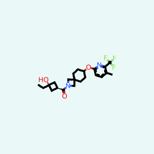 CC[C@]1(O)C[C@@H](C(=O)N2CC3(CCC(Oc4ccc(C)c(C(F)(F)F)n4)CC3)C2)C1